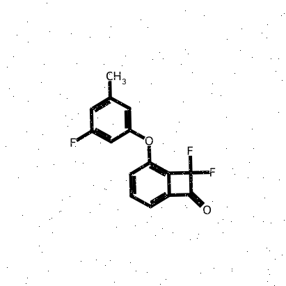 Cc1cc(F)cc(Oc2cccc3c2C(F)(F)C3=O)c1